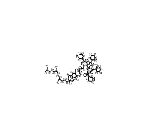 Cc1c(C)c2c(c(C)c1OC(=O)OCC(OC(=O)c1cccnc1)C(OC(=O)c1cccnc1)C(COC(=O)c1cccnc1)OC(=O)c1cccnc1)CCC(C)(CCCC(C)CCCC(C)CCCC(C)C)O2